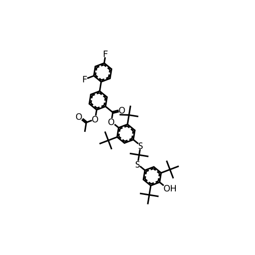 CC(=O)Oc1ccc(-c2ccc(F)cc2F)cc1C(=O)Oc1c(C(C)(C)C)cc(SC(C)(C)Sc2cc(C(C)(C)C)c(O)c(C(C)(C)C)c2)cc1C(C)(C)C